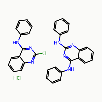 Cl.Clc1nc(Nc2ccccc2)c2ccccc2n1.c1ccc(Nc2nc(Nc3ccccc3)c3ccccc3n2)cc1